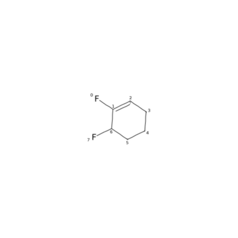 FC1=[C]CCCC1F